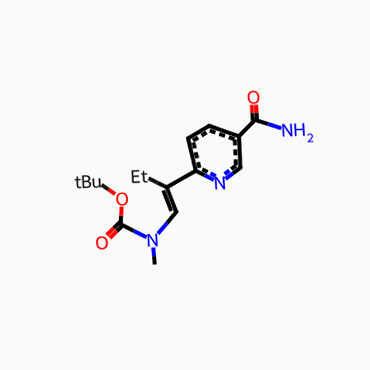 CCC(=CN(C)C(=O)OC(C)(C)C)c1ccc(C(N)=O)cn1